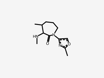 CNC1C(=O)N(c2coc(C)n2)CCCC1C